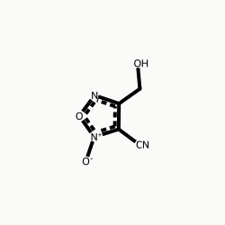 N#Cc1c(CO)no[n+]1[O-]